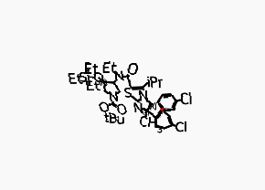 CCN(C(=O)C1=C(C(C)C)N2C(=N[C@@](C)(c3ccc(Cl)cc3)[C@H]2c2ccc(Cl)cc2)S1)C1CN(C(=O)OC(C)(C)C)C[C@H]1O[Si](CC)(CC)CC